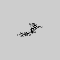 CCN1CCN(c2ccc(C(=O)Nc3n[nH]c4nc(-c5c(Cl)c(OC)cc(OC)c5Cl)ccc34)cn2)CC1